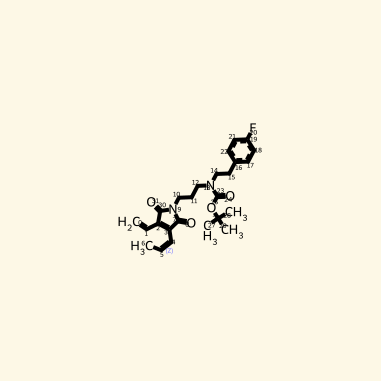 C=CC1=C(/C=C\C)C(=O)N(CCCN(CCc2ccc(F)cc2)C(=O)OC(C)(C)C)C1=O